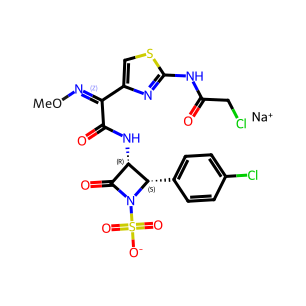 CO/N=C(\C(=O)N[C@H]1C(=O)N(S(=O)(=O)[O-])[C@H]1c1ccc(Cl)cc1)c1csc(NC(=O)CCl)n1.[Na+]